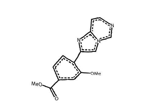 COC(=O)c1ccc(-c2cn3cnccc3n2)c(OC)c1